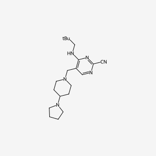 CC(C)(C)CNc1nc(C#N)ncc1CN1CCC(N2CCCC2)CC1